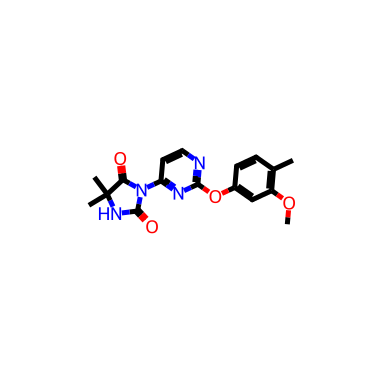 COc1cc(Oc2nccc(N3C(=O)NC(C)(C)C3=O)n2)ccc1C